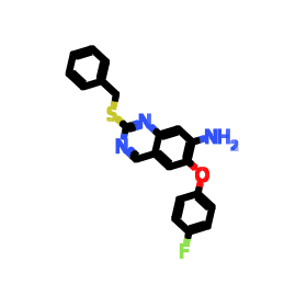 Nc1cc2nc(SCc3ccccc3)ncc2cc1Oc1ccc(F)cc1